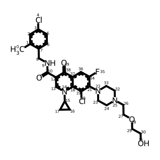 Cc1cc(Cl)ccc1CNC(=O)c1cn(C2CC2)c2c(Cl)c(N3CCN(CCOCCO)CC3)c(F)cc2c1=O